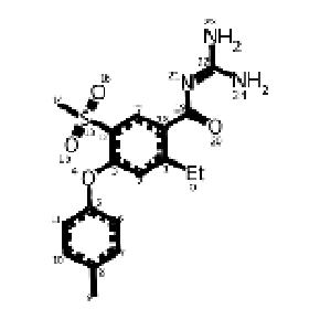 CCc1cc(Oc2ccc(C)cc2)c(S(C)(=O)=O)cc1C(=O)N=C(N)N